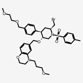 COCCCN1CCOc2ccc(CO[C@H]3CN(S(=O)(=O)c4ccc(C)cc4)[C@H](CBr)C[C@@H]3c3ccc(COCCOC)cc3)cc21